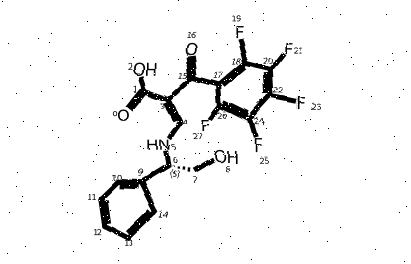 O=C(O)C(=CN[C@H](CO)c1ccccc1)C(=O)c1c(F)c(F)c(F)c(F)c1F